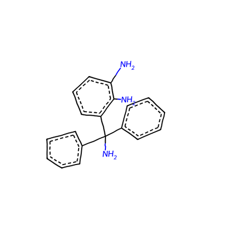 Nc1cccc(C(N)(c2ccccc2)c2ccccc2)c1N